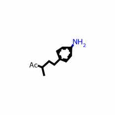 CC(=O)C(C)CCc1ccc(N)cc1